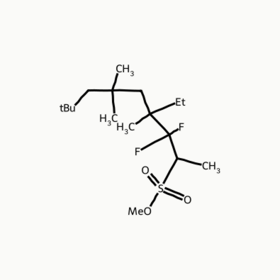 CCC(C)(CC(C)(C)CC(C)(C)C)C(F)(F)C(C)S(=O)(=O)OC